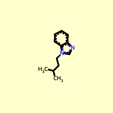 CC(C)CCn1cnc2cc[c]cc21